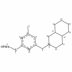 CCCCCCSc1nc(C)cc(CN2CCC3CCCCC3C2)n1